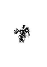 C/C(C=O)=C1\C[C@@](C)(c2cc(C)ccc2F)N=C(NC(=O)OC(C)(C)C)S1